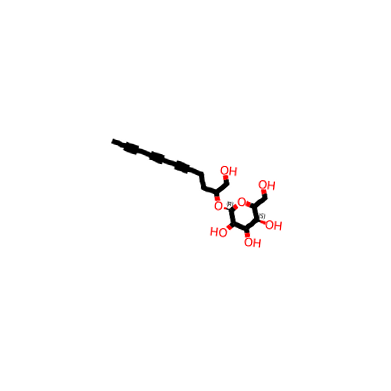 CC#CC#CC#CCCC(CO)O[C@@H]1OC(CO)[C@@H](O)C(O)C1O